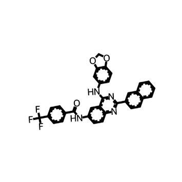 O=C(Nc1ccc2nc(-c3ccc4ccccc4c3)nc(Nc3ccc4c(c3)OCO4)c2c1)c1ccc(C(F)(F)F)cc1